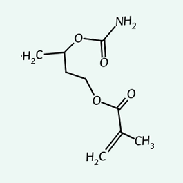 [CH2]C(CCOC(=O)C(=C)C)OC(N)=O